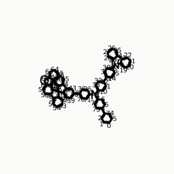 c1ccc(-c2ccc(N(c3ccc(-c4ccc(-n5c6ccccc6c6ccccc65)cc4)cc3)c3ccc(-c4ccc5c(c4)-c4ccccc4C54c5ccccc5-c5ccc6oc7ccccc7c6c54)cc3)cc2)cc1